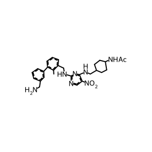 CC(=O)NC1CCC(CNc2nc(NCc3cccc(-c4cccc(CN)c4)c3C)ncc2[N+](=O)[O-])CC1